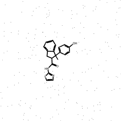 CC1(c2ccc(O)cc2)c2ccccc2CC1C(=O)Nc1nccs1